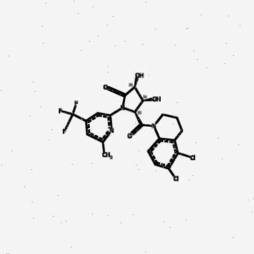 Cc1cc(C(F)(F)F)cc(N2C(=O)[C@@H](O)[C@@H](O)[C@H]2C(=O)N2CCCc3c2ccc(Cl)c3Cl)n1